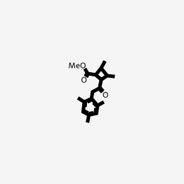 COC(=O)C1C(C)C(C)C1C(=O)Cc1c(C)cc(C)cc1C